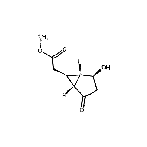 COC(=O)C[C@@H]1[C@H]2C(=O)C[C@H](O)[C@@H]12